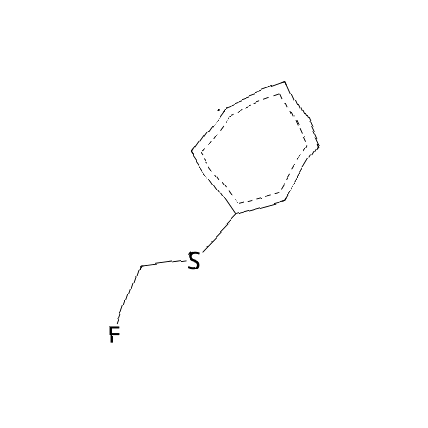 FCSc1c[c]ccc1